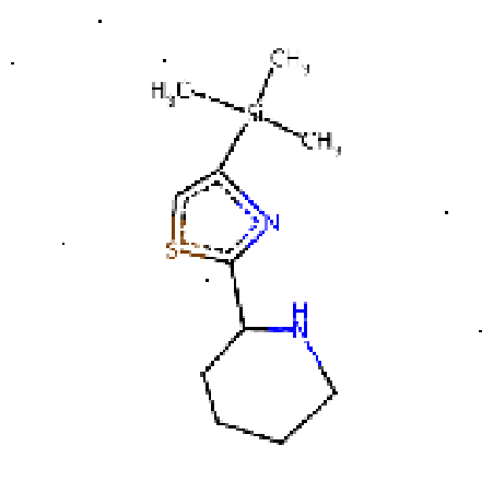 C[Si](C)(C)c1csc(C2CCCCN2)n1